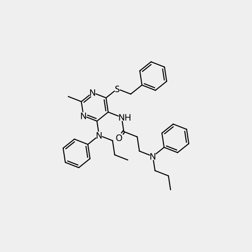 CCCN(CCC(=O)Nc1c(SCc2ccccc2)nc(C)nc1N(CCC)c1ccccc1)c1ccccc1